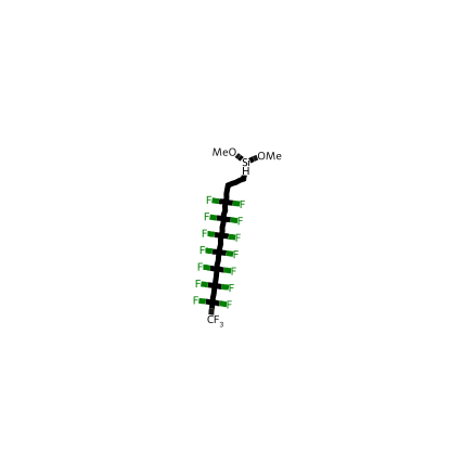 CO[SiH](CCC(F)(F)C(F)(F)C(F)(F)C(F)(F)C(F)(F)C(F)(F)C(F)(F)C(F)(F)F)OC